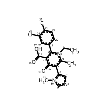 CCn1c(C)c(-c2cncn2C)c(=O)c(C(=O)O)c1-c1ccc(Cl)c(Cl)c1